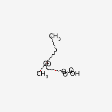 CCCCCCCC/C=C\CCCCCCCC(=O)OC(C/C=C\CCCCCCCCOC(=O)CCC(=O)O)CCCCCC